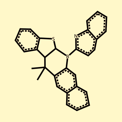 CC1(C)c2cc3ccccc3cc2B(c2ccc3ccccc3n2)C2Sc3ccccc3C21